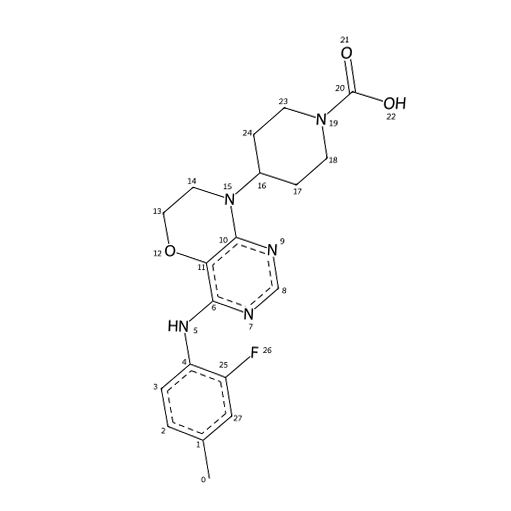 Cc1ccc(Nc2ncnc3c2OCCN3C2CCN(C(=O)O)CC2)c(F)c1